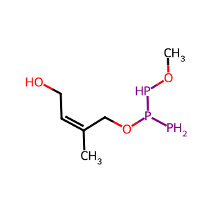 COPP(P)OC/C(C)=C\CO